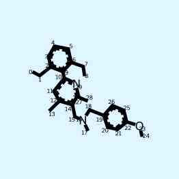 CCc1cccc(CC)c1-c1cc(C)c(CN(C)Cc2ccc(OC)cc2)c(C)n1